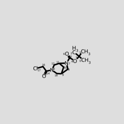 CC(C)(C)OC(=O)N1CC2CC1CN(C(=O)CCl)C2